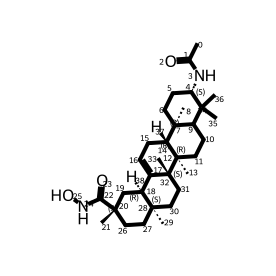 CC(=O)N[C@H]1CC[C@@]2(C)C(CC[C@]3(C)[C@@H]2CC=C2[C@@H]4C[C@@](C)(C(=O)NO)CC[C@]4(C)CC[C@]23C)C1(C)C